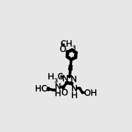 C#CCNC(=O)c1c(NCCO)nc(C#Cc2cccc(OC)c2)n1C